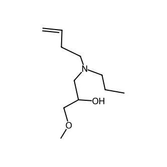 C=CCCN(CCC)CC(O)COC